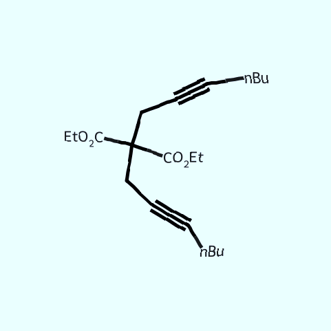 CCCCC#CCC(CC#CCCCC)(C(=O)OCC)C(=O)OCC